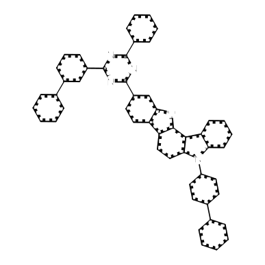 c1ccc(-c2ccc(-n3c4ccccc4c4c5oc6cc(-c7nc(-c8ccccc8)nc(-c8cccc(-c9ccccc9)c8)n7)ccc6c5ccc43)cc2)cc1